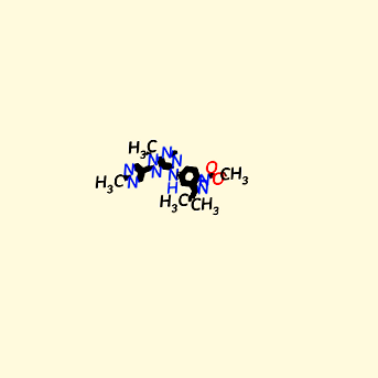 CCn1c(-c2cnc(C)nc2)nc2c(N[C@@H]3CCc4c(c(C(C)C)nn4C(=O)OC)C3)ncnc21